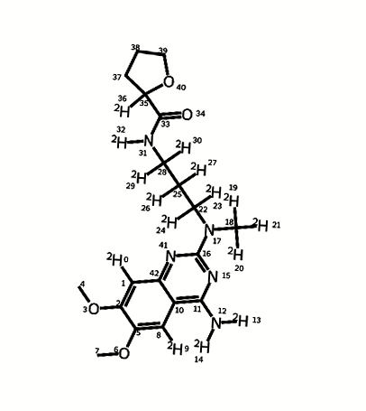 [2H]c1c(OC)c(OC)c([2H])c2c(N([2H])[2H])nc(N(C([2H])([2H])[2H])C([2H])([2H])C([2H])([2H])C([2H])([2H])N([2H])C(=O)C3([2H])CCCO3)nc12